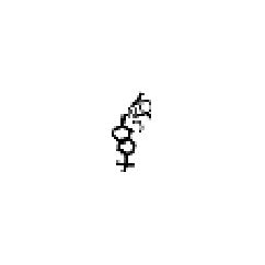 CC1CN(CC2CCc3cc(C(C)(C)C)ccc3C2=O)CC(C)O1